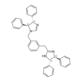 C1=N[C@@H](c2ccccc2)[C@H](c2ccccc2)N1Cc1cccc(CC2=N[C@@H](c3ccccc3)[C@H](c3ccccc3)N2)c1